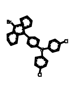 Clc1ccc(N(c2ccc(Cl)cc2)c2ccc(-c3c4ccccc4c(Br)c4ccccc34)cc2)cc1